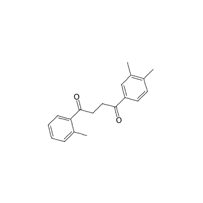 Cc1ccc(C(=O)CCC(=O)c2ccccc2C)cc1C